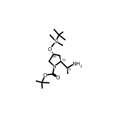 C[C@H](N)[C@@H]1C[C@@H](O[Si](C)(C)C(C)(C)C)CN1C(=O)OC(C)(C)C